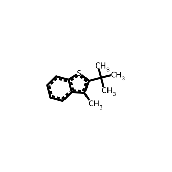 Cc1c(C(C)(C)C)sc2ccccc12